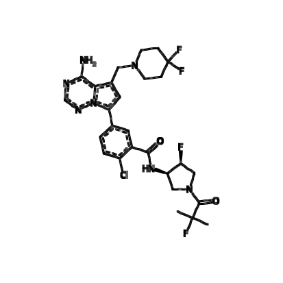 CC(C)(F)C(=O)N1C[C@H](F)[C@H](NC(=O)c2cc(-c3cc(CN4CCC(F)(F)CC4)c4c(N)ncnn34)ccc2Cl)C1